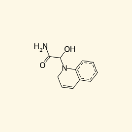 NC(=O)C(O)N1CC=Cc2ccccc21